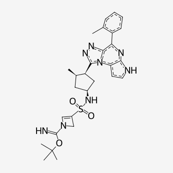 Cc1ccccc1-c1nc2[nH]ccc2n2c([C@H]3C[C@@H](NS(=O)(=O)C4=CN(C(=N)OC(C)(C)C)C4)C[C@H]3C)nnc12